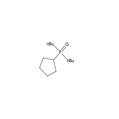 CCCCP(=O)(CCCC)C1CCCC1